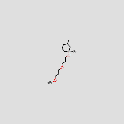 CCCOCCCOCCCOC1(C(C)C)CCCC(C)C1